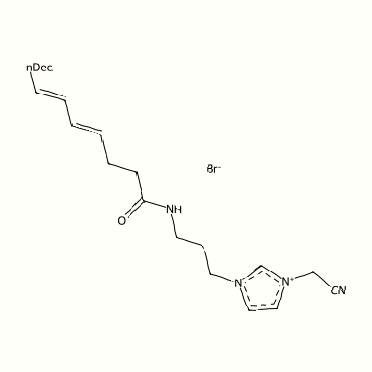 CCCCCCCCCCC=CC=CCCC(=O)NCCCn1cc[n+](CC#N)c1.[Br-]